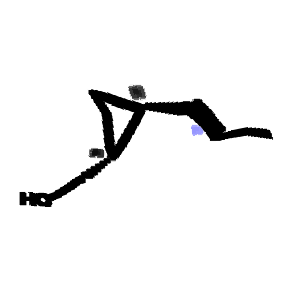 C/C=C/[C@@H]1C[C@H]1CO